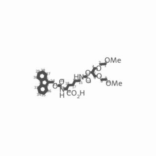 COCCOCC(COCCOC)OC(=O)NCCCC[C@@H](NC(=O)OCC1c2ccccc2-c2ccccc21)C(=O)O